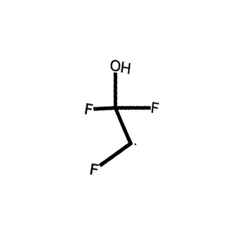 OC(F)(F)[CH]F